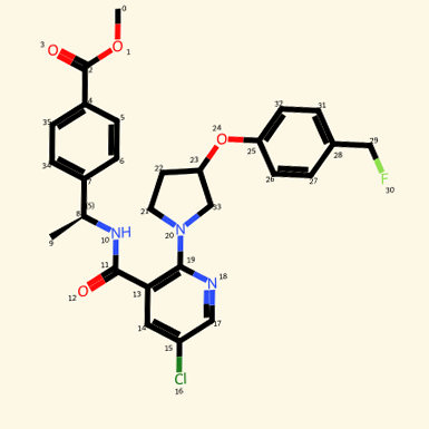 COC(=O)c1ccc([C@H](C)NC(=O)c2cc(Cl)cnc2N2CCC(Oc3ccc(CF)cc3)C2)cc1